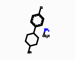 CCCC1CCC(c2ccc(CC)cc2)CC1.NC(=O)O